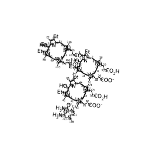 CCC1=C(C)c2nc1cc1[nH]c(cc3nc(cc4[nH]c(c2O)c(CC)c4C)C(C)=C3CCC(=O)[O-])c(CCC(=O)O)c1C.CCC1=C(C)c2nc1cc1[nH]c(cc3nc(cc4[nH]c(c2O)c(CC)c4C)C(C)=C3CCC(=O)[O-])c(CCC(=O)O)c1C.CCC1=C(C)c2nc1cc1[nH]c(cc3nc(cc4[nH]c(c2O)c(CC)c4C)C(C)=C3CCC(=O)[O-])c(CCC(=O)O)c1C.CN(C)CC(N)=O.CN(C)CC(N)=O.[Ga+3]